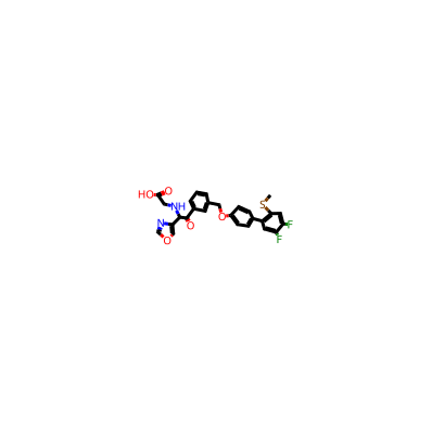 CSc1cc(F)c(F)cc1-c1ccc(OCc2cccc(C(=O)C(NCC(=O)O)c3cocn3)c2)cc1